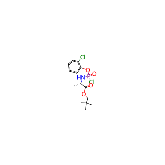 C[C@H](NP(=O)(Cl)Oc1ccccc1Cl)C(=O)OCC(C)(C)C